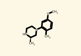 COc1ccc(C)c(N2CCN[C@H](C)C2)c1